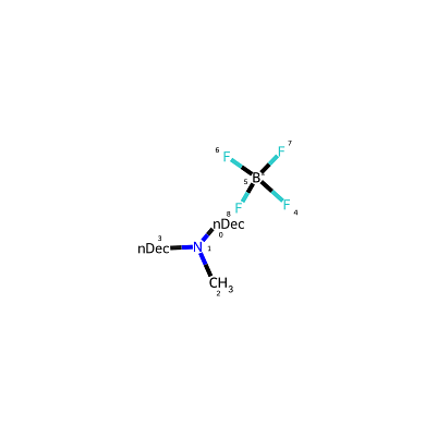 CCCCCCCCCCN(C)CCCCCCCCCC.F[B-](F)(F)F